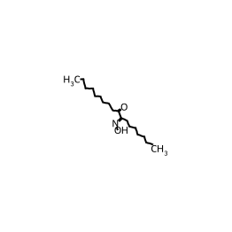 CCCCCCCCCC(=O)C(CCCCCCCC)=NO